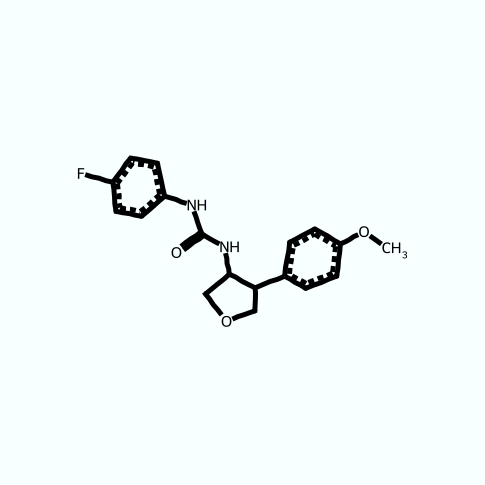 COc1ccc(C2COCC2NC(=O)Nc2ccc(F)cc2)cc1